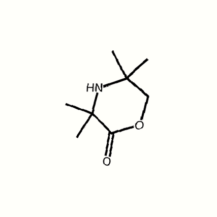 CC1(C)COC(=O)C(C)(C)N1